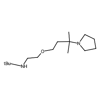 CC(C)(C)NCCOCCC(C)(C)N1CCCC1